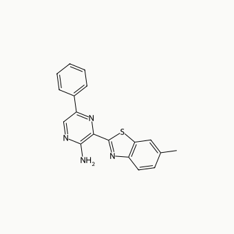 Cc1ccc2nc(-c3nc(-c4ccccc4)cnc3N)sc2c1